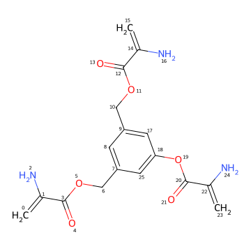 C=C(N)C(=O)OCc1cc(COC(=O)C(=C)N)cc(OC(=O)C(=C)N)c1